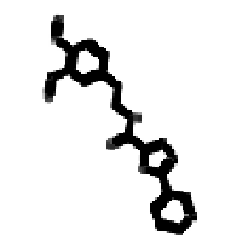 O=Nc1ccc(CCNC(=O)c2nnc(-c3cccnc3)o2)cc1N=O